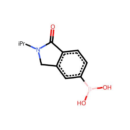 CC(C)N1Cc2cc(B(O)O)ccc2C1=O